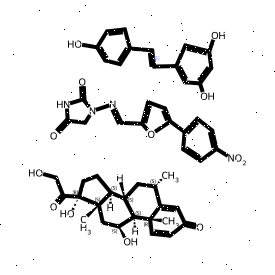 C[C@H]1C[C@@H]2[C@H]([C@@H](O)C[C@@]3(C)[C@H]2CC[C@]3(O)C(=O)CO)[C@@]2(C)C=CC(=O)C=C12.O=C1CN(N=Cc2ccc(-c3ccc([N+](=O)[O-])cc3)o2)C(=O)N1.Oc1ccc(/C=C/c2cc(O)cc(O)c2)cc1